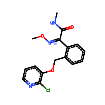 CNC(=O)/C(=N\OC)c1ccccc1COc1cccnc1Cl